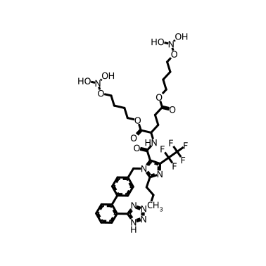 CCCc1nc(C(F)(F)C(F)(F)F)c(C(=O)NC(CCC(=O)OCCCCON(O)O)C(=O)OCCCCON(O)O)n1Cc1ccc(-c2ccccc2-c2nnn[nH]2)cc1